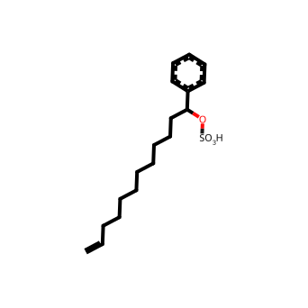 C=CCCCCCCCCCC(OS(=O)(=O)O)c1ccccc1